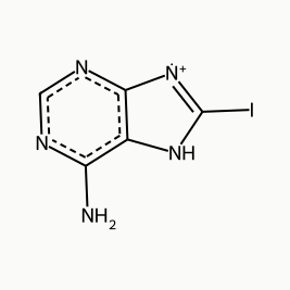 Nc1ncnc2c1NC(I)=[N+]2